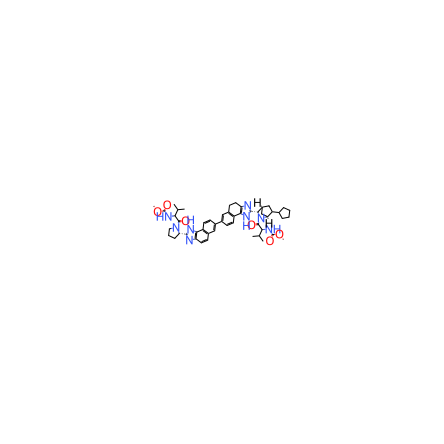 COC(=O)N[C@H](C(=O)N1CCC[C@H]1c1nc2ccc3cc(-c4ccc5c(c4)CCc4nc([C@@H]6[C@H]7CC(C8CCCC8)[C@H](C7)N6C(=O)[C@@H](NC(=O)OC)C(C)C)[nH]c4-5)ccc3c2[nH]1)C(C)C